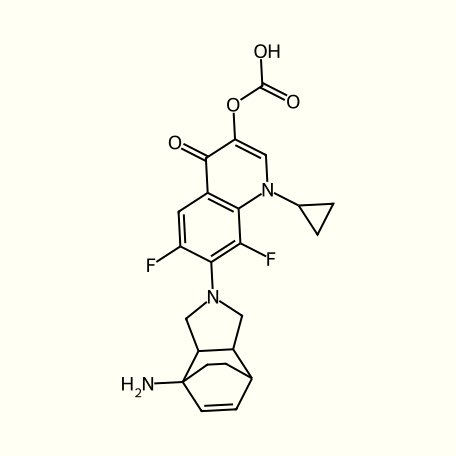 NC12C=CC(CC1)C1CN(c3c(F)cc4c(=O)c(OC(=O)O)cn(C5CC5)c4c3F)CC12